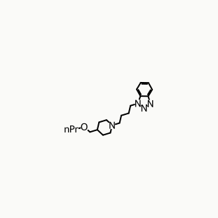 CCCOCC1CCN(CCCCn2nnc3ccccc32)CC1